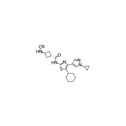 N#CN[C@H]1C[C@H](C(=O)Nc2nc(-c3cnn(C4CC4)c3)c(C3CCCCC3)s2)C1